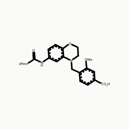 CCCCCC(=O)Nc1ccc2c(c1)N(Cc1ccc(C(=O)O)cc1OC)CCO2